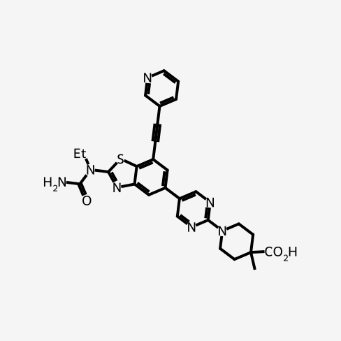 CCN(C(N)=O)c1nc2cc(-c3cnc(N4CCC(C)(C(=O)O)CC4)nc3)cc(C#Cc3cccnc3)c2s1